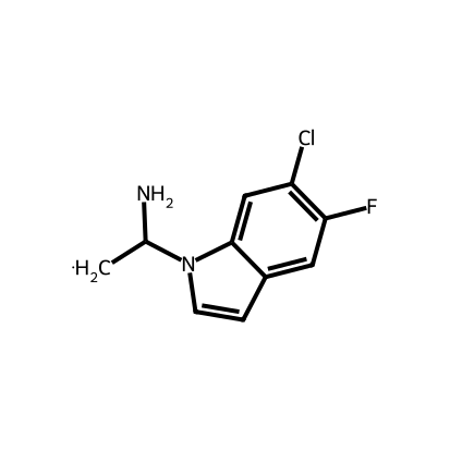 [CH2]C(N)n1ccc2cc(F)c(Cl)cc21